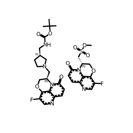 CC(C)(C)OC(=O)NC[C@@H]1CCN(C[C@@H]2COc3c(F)cnc4ccc(=O)n2c34)C1.COS(=O)(=O)C[C@@H]1COc2c(F)cnc3ccc(=O)n1c23